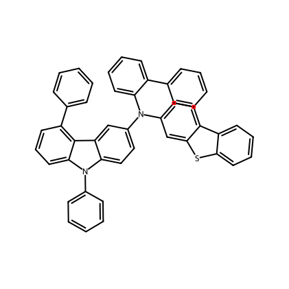 c1ccc(-c2ccccc2N(c2ccc3c(c2)sc2ccccc23)c2ccc3c(c2)c2c(-c4ccccc4)cccc2n3-c2ccccc2)cc1